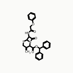 C=C1CSC2C(NC(=O)COc3ccccc3)C(=O)N2C1C(=O)OC(c1ccccc1)c1ccccc1